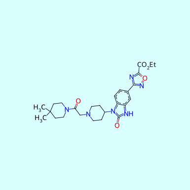 CCOC(=O)c1nc(-c2ccc3c(c2)[nH]c(=O)n3C2CCN(CC(=O)N3CCC(C)(C)CC3)CC2)no1